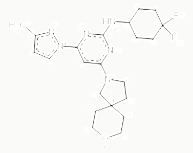 Cc1ccn(-c2cc(N3CCC4(CCOCC4)C3)nc(NC3CCC(F)(F)CC3)n2)n1